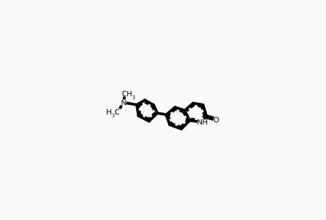 CN(C)c1ccc(-c2ccc3[nH]c(=O)ccc3c2)cc1